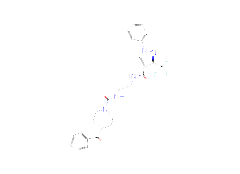 O=C(NCCNC(=O)N1CCC(C(=O)c2ccccc2)CC1)c1cn(-c2ccccc2)nc1C(F)(F)F